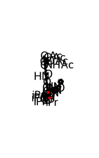 CC(=O)NC1C(OCCCCC(=O)NCCOCCOCO[C@@H]2[C@@H]3O[Si](C(C)C)(C(C)C)O[Si](C(C)C)(C(C)C)OC[C@H]3O[C@H]2n2cnc3c(NC(=O)c4ccccc4)ncnc32)O[C@@H](COC(C)=O)C(OC(C)=O)C1OC(C)=O